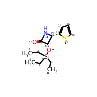 CC[Si](CC)(CC)O[C@@H]1C(=O)N[C@@H]1c1cccs1